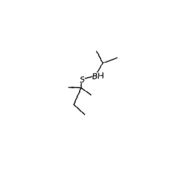 CCC(C)(C)SBC(C)C